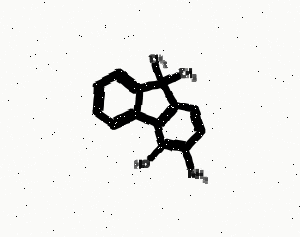 CC1(C)c2ccccc2-c2c1ccc(N)c2O